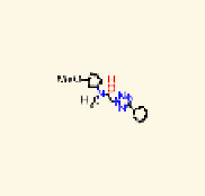 COc1cccc(N(C)C(O)Cn2nnc(-c3ccccc3)n2)c1